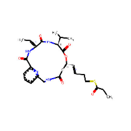 C/C=C1\NC(=O)c2cccc(n2)CNC(=O)C[C@@H](/C=C/CCSC(=O)CC)OC(=O)[C@H](C(C)C)NC1=O